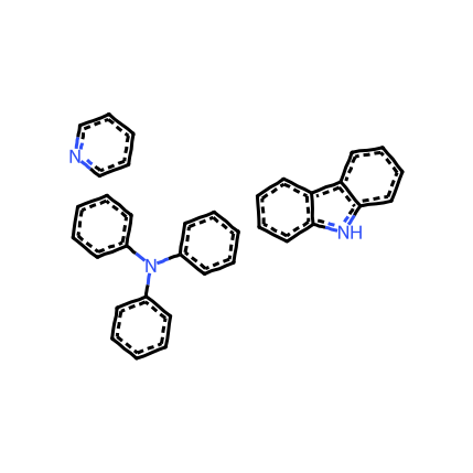 c1ccc(N(c2ccccc2)c2ccccc2)cc1.c1ccc2c(c1)[nH]c1ccccc12.c1ccncc1